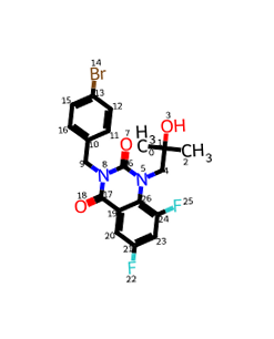 CC(C)(O)Cn1c(=O)n(Cc2ccc(Br)cc2)c(=O)c2cc(F)cc(F)c21